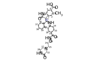 Cc1cc2c(cc1C(=O)O)NC(=O)/C2=C(/Nc1ccc(C(=O)NOCCN2CCNC(=O)C2)cc1)c1ccccc1